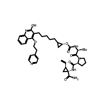 C=C[C@@H]1C[C@]1(NC(=O)[C@@H]1CCCN1C(=O)[C@@H](NC(=O)O[C@@H]1CC1CCCCCc1c(O)nc2ccccc2c1OCCc1ccncc1)C(C)(C)C)C(N)=O